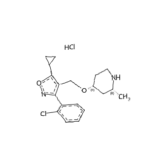 C[C@@H]1C[C@H](OCc2c(-c3ccccc3Cl)noc2C2CC2)CCN1.Cl